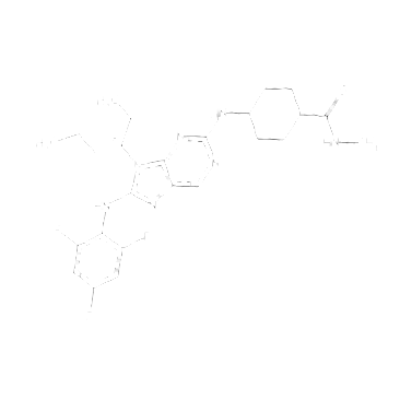 CCC[C@H](CC)n1c(Nc2c(F)cc(F)cc2F)nc2cnc(NC3CCC(C(=O)NC)CC3)nc21